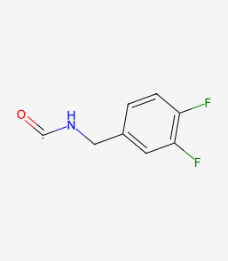 O=[C]NCc1ccc(F)c(F)c1